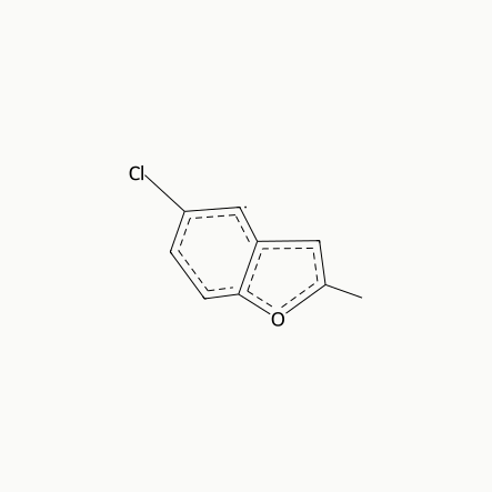 Cc1cc2[c]c(Cl)ccc2o1